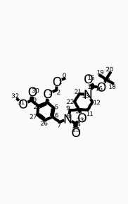 COCOc1cc(CN2CC3(CCN(C(=O)OC(C)(C)C)CC3)OC2=O)ccc1C(=O)OC